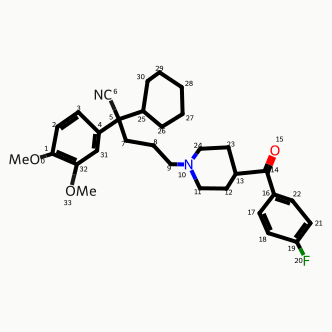 COc1ccc(C(C#N)(CCCN2CCC(C(=O)c3ccc(F)cc3)CC2)C2CCCCC2)cc1OC